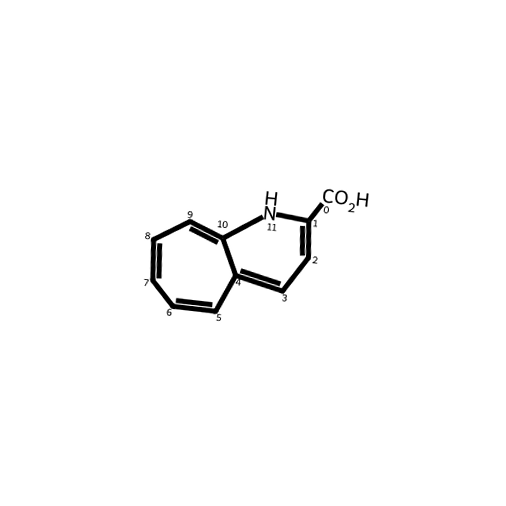 O=C(O)C1=CC=C2C=CC=CC=C2N1